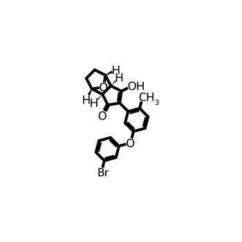 Cc1ccc(Oc2cccc(Br)c2)cc1C1=C(O)[C@H]2[C@@H](C1=O)[C@@H]1CC[C@H]2O1